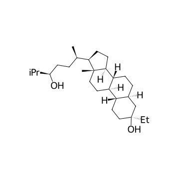 CC[C@]1(O)CC[C@H]2[C@@H](CC[C@@H]3[C@@H]2CC[C@]2(C)[C@@H]([C@H](C)CC[C@@H](O)C(C)C)CC[C@@H]32)C1